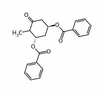 CC1C(=O)C[C@@H](OC(=O)c2ccccc2)C[C@@H]1OC(=O)c1ccccc1